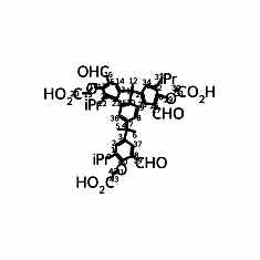 CC(C)c1cc(C(C)(C)c2ccc(C(C)(c3cc(C=O)c(OCC(=O)O)c(C(C)C)c3)c3cc(C=O)c(OCC(=O)O)c(C(C)C)c3)cc2)cc(C=O)c1OCC(=O)O